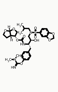 CC(C)CN(C[C@@H](O)[C@H](Cc1ccc(OC(=N)N(C)C)cc1)NC(=O)O[C@H]1CO[C@H]2OCC[C@H]21)S(=O)(=O)c1ccc2c(c1)OCO2